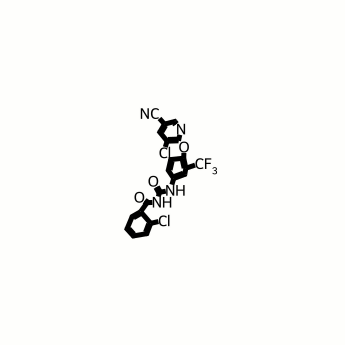 N#Cc1cnc(Oc2ccc(NC(=O)NC(=O)c3ccccc3Cl)cc2C(F)(F)F)c(Cl)c1